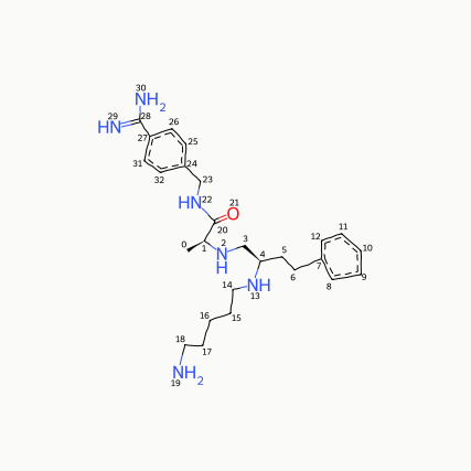 C[C@H](NC[C@@H](CCc1ccccc1)NCCCCCN)C(=O)NCc1ccc(C(=N)N)cc1